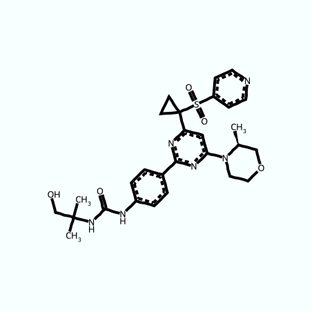 C[C@H]1COCCN1c1cc(C2(S(=O)(=O)c3ccncc3)CC2)nc(-c2ccc(NC(=O)NC(C)(C)CO)cc2)n1